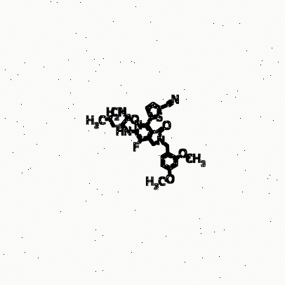 COc1ccc(CN2Cc3c(F)c(N[C@H](CC(C)C)C(N)=O)nc(-c4ccc(C#N)s4)c3C2=O)c(OC)c1